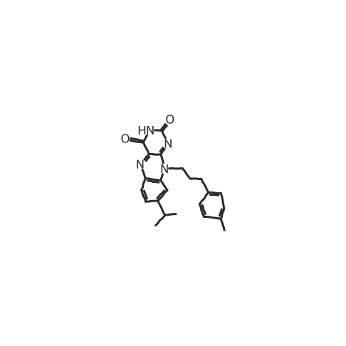 Cc1ccc(CCCn2c3nc(=O)[nH]c(=O)c-3nc3ccc(C(C)C)cc32)cc1